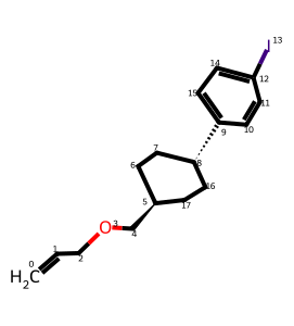 C=CCOC[C@H]1CC[C@H](c2ccc(I)cc2)CC1